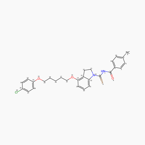 [C-]#[N+]c1ccc(C(=O)NC(=S)N2CCc3c(OCCCCCOc4ccc(Cl)cc4)cccc32)cc1